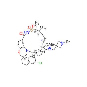 CO[C@]1(CN2CC3(C2)CN(C(C)C)C3)/C=C/C[C@H](C)[C@@H](C)S(=O)(=O)NC(=O)c2ccc3c(c2)N(C[C@@H]2CC[C@H]21)C[C@@]1(CCCc2cc(Cl)ccc21)CO3